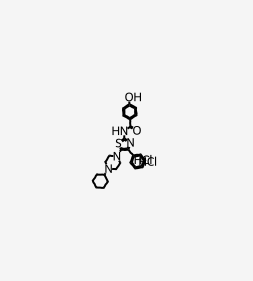 Cl.Cl.O=C(Nc1nc(-c2ccccc2)c(N2CCN(C3CCCCC3)CC2)s1)c1ccc(O)cc1